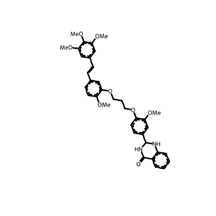 COc1cc(C2NC(=O)c3ccccc3N2)ccc1OCCCOc1cc(C=Cc2cc(OC)c(OC)c(OC)c2)ccc1OC